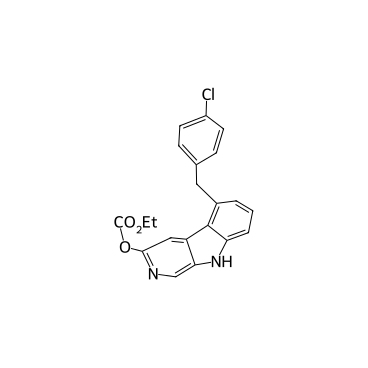 CCOC(=O)Oc1cc2c(cn1)[nH]c1cccc(Cc3ccc(Cl)cc3)c12